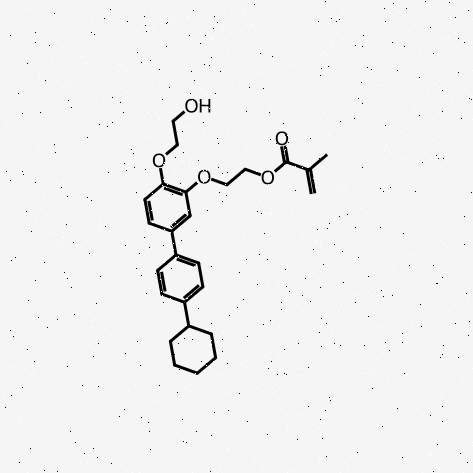 C=C(C)C(=O)OCCOc1cc(-c2ccc(C3CCCCC3)cc2)ccc1OCCO